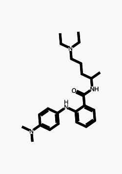 CCN(CC)CCCC(C)NC(=O)c1ccccc1Nc1ccc(N(C)C)cc1